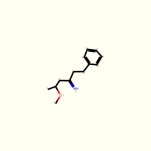 COC(C)CC(=N)CCc1ccccc1